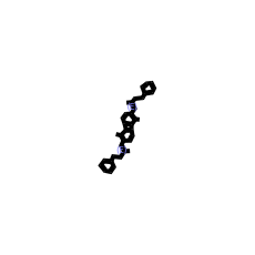 C/C(=C\c1ccc2c(c1C)-c1ccc(/C=C(\C)CCc3ccccc3)c(C)c1-2)CCc1ccccc1